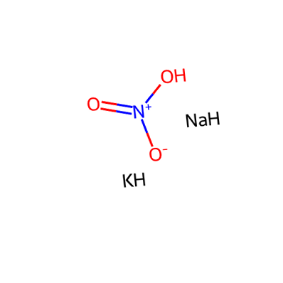 O=[N+]([O-])O.[KH].[NaH]